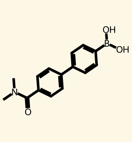 CN(C)C(=O)c1ccc(-c2ccc(B(O)O)cc2)cc1